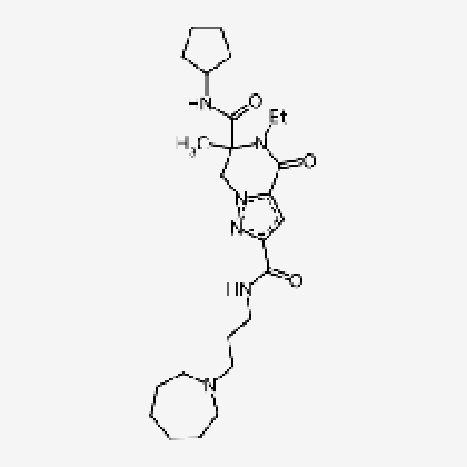 CCN1C(=O)c2cc(C(=O)NCCCN3CCCCCC3)nn2CC1(C)C(=O)NC1CCCC1